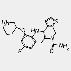 CC1=C(Nc2ccc(F)cc2O[C@H]2CCCNC2)c2ccsc2CN1C(N)=O